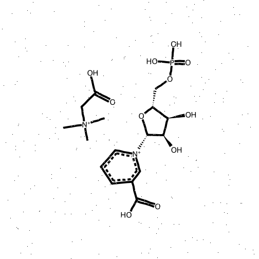 C[N+](C)(C)CC(=O)O.O=C(O)c1ccc[n+]([C@@H]2O[C@H](COP(=O)(O)O)[C@@H](O)[C@H]2O)c1